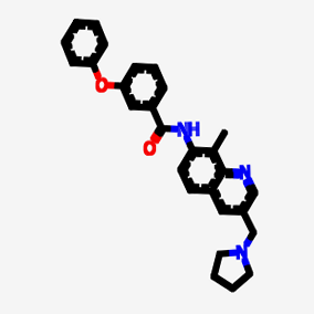 Cc1c(NC(=O)c2cccc(Oc3ccccc3)c2)ccc2cc(CN3CCCC3)cnc12